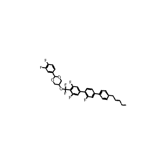 CCCCCc1ccc(-c2ccc(-c3cc(F)c(C(F)(F)OC4COC(c5ccc(F)c(F)c5)OC4)c(F)c3)c(F)c2)cc1